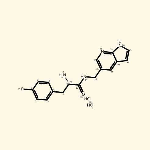 Cl.Cl.N[C@@H](Cc1ccc(F)cc1)C(=O)NCc1cnc2[nH]ccc2c1